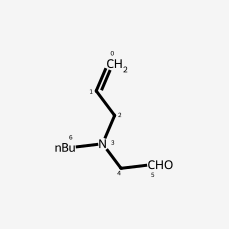 C=CCN(CC=O)CCCC